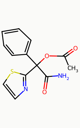 CC(=O)OC(C(N)=O)(c1ccccc1)c1nccs1